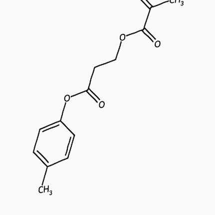 C=C(C)C(=O)OCCC(=O)Oc1ccc(C)cc1